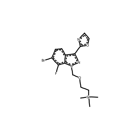 C[Si](C)(C)CCOCn1nc(-c2ncco2)c2ccc(Br)c(F)c21